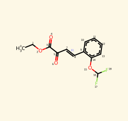 CCOC(=O)C(=O)/C=C/c1ccccc1OC(F)F